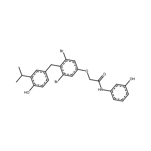 CC(C)c1cc(Cc2c(Br)cc(OCC(=O)Nc3cccc(O)c3)cc2Br)ccc1O